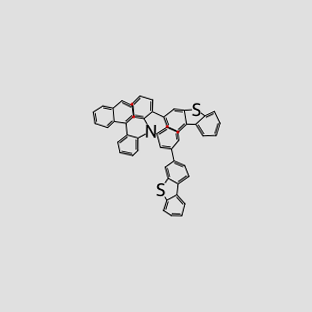 c1cc(-c2ccc3c(c2)sc2ccccc23)cc(N(c2ccccc2-c2ccc3c(c2)sc2ccccc23)c2ccccc2-c2cccc3ccccc23)c1